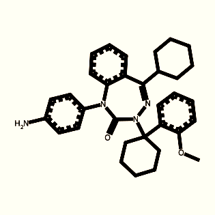 COc1ccccc1C1(N2N=C(C3CCCCC3)c3ccccc3N(c3ccc(N)cc3)C2=O)CCCCC1